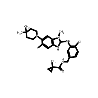 CN1c2cc(N3CCC(C)(C)CC3)c(F)cc2NC1Nc1cc(CNC(=O)C2(C(F)(F)F)CC2)ccc1Cl